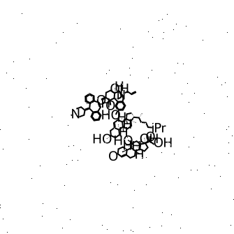 C=CCN1CC[C@]23c4c5ccc(O)c4O[C@H]2C(=O)CC[C@@]3(O)[C@H]1C5.CC(C)CCC[C@@H](C)[C@H]1CC[C@H]2[C@@H]3CC=C4C[C@@H](O)CC[C@]4(C)[C@H]3CC[C@]12C.CN1CCC(=C2c3ccccc3C=Cc3ccccc32)CC1.C[C@]12CCC(=O)C=C1CC[C@@H]1[C@@H]2[C@@H](O)C[C@@]2(C)[C@H]1CC[C@]2(O)C(=O)CO